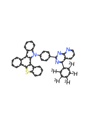 [2H]c1c([2H])c([2H])c(-c2nc(-c3ccc(-n4c5ccccc5c5c6ccccc6c6sc7ccccc7c6c54)cc3)nc3ncccc23)c([2H])c1[2H]